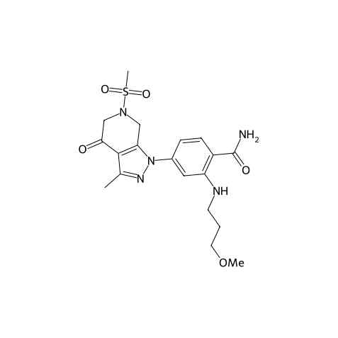 COCCCNc1cc(-n2nc(C)c3c2CN(S(C)(=O)=O)CC3=O)ccc1C(N)=O